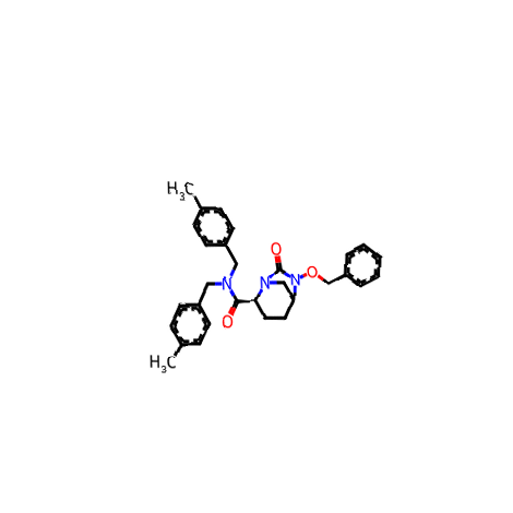 Cc1ccc(CN(Cc2ccc(C)cc2)C(=O)[C@@H]2CCC3CN2C(=O)N3OCc2ccccc2)cc1